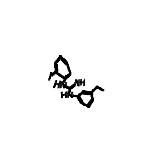 CCc1cccc(NC(=N)Nc2ccccc2I)c1